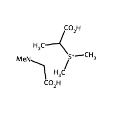 CC(C(=O)O)[S+](C)C.CNCC(=O)O